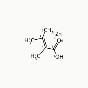 CC(C)=C(C)C(=O)O.[Zn]